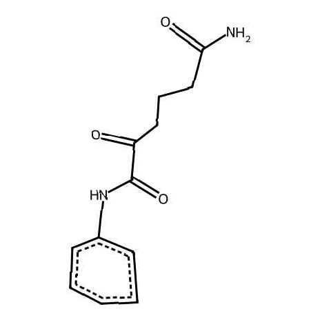 NC(=O)CCCC(=O)C(=O)Nc1ccccc1